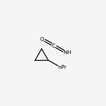 CCCC1CC1.N=C=O